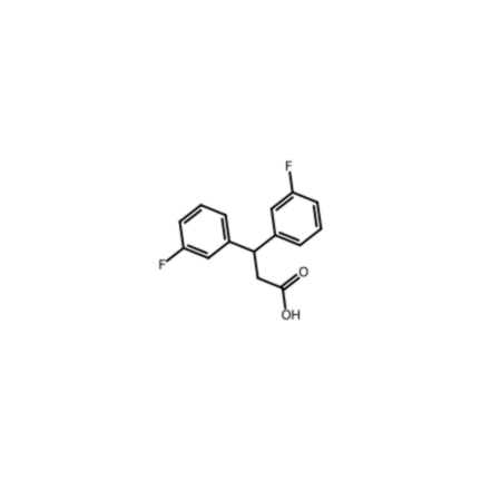 O=C(O)CC(c1cccc(F)c1)c1cccc(F)c1